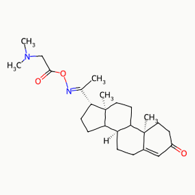 C/C(=N\OC(=O)CN(C)C)[C@H]1CCC2[C@@H]3CCC4=CC(=O)CC[C@]4(C)C3CC[C@@]21C